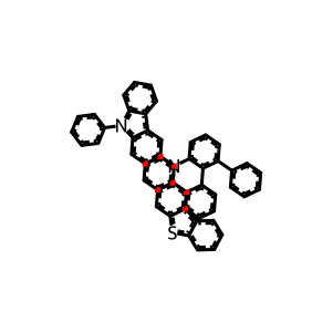 c1ccc(-c2ccccc2-c2c(-c3ccccc3)cccc2N(c2ccc3sc4ccccc4c3c2)c2ccc3c(c2)c2ccccc2n3-c2ccccc2)cc1